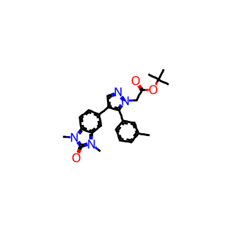 Cc1cccc(-c2c(-c3ccc4c(c3)n(C)c(=O)n4C)cnn2CC(=O)OC(C)(C)C)c1